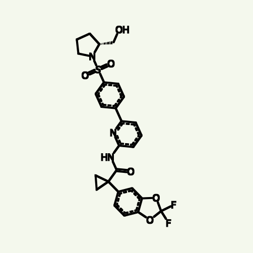 O=C(Nc1cccc(-c2ccc(S(=O)(=O)N3CCC[C@@H]3CO)cc2)n1)C1(c2ccc3c(c2)OC(F)(F)O3)CC1